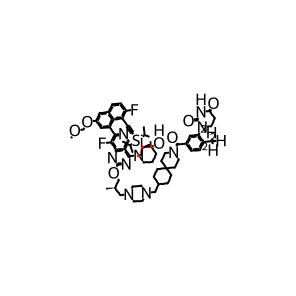 [2H]C([2H])([2H])c1ccc(C(=O)N2CCC3(CCC(CN4CCN(C[C@@H](C)COc5nc(N6CCC[C@@](C)(O)C6)c6cnc(-c7cc(OCOC)cc8ccc(F)c(C#C[Si](C(C)C)(C(C)C)C(C)C)c78)c(F)c6n5)CC4)CC3)CC2)cc1N1CCC(=O)NC1=O